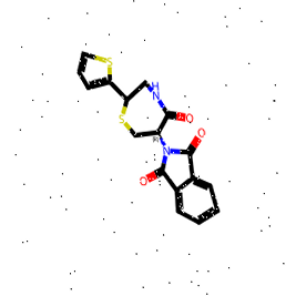 O=C1NCC(c2cccs2)SC[C@@H]1N1C(=O)c2ccccc2C1=O